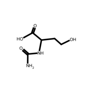 NC(=O)NC(CCO)C(=O)O